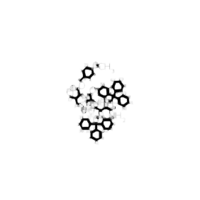 COc1ccc(COC(=O)C2=C(CCl)C[S+]([O-])[C@@H]3C(NC(=O)/C(=N\OC(c4ccccc4)(c4ccccc4)c4ccccc4)c4nc(C(c5ccccc5)(c5ccccc5)c5ccccc5)sc4N)C(=O)N23)cc1